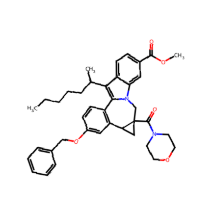 CCCCCC(C)c1c2n(c3cc(C(=O)OC)ccc13)CC1(C(=O)N3CCOCC3)CC1c1cc(OCc3ccccc3)ccc1-2